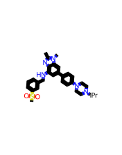 Cc1nc2c(NCc3cccc(S(C)(=O)=O)c3)cc(-c3ccc(N4CCN(C(C)C)CC4)cc3)cc2n1C